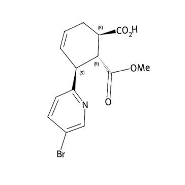 COC(=O)[C@@H]1[C@@H](c2ccc(Br)cn2)C=CC[C@H]1C(=O)O